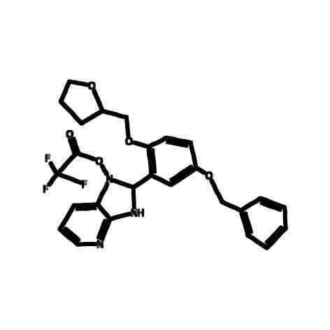 O=C(ON1c2cccnc2NC1c1cc(OCc2ccccc2)ccc1OCC1CCCO1)C(F)(F)F